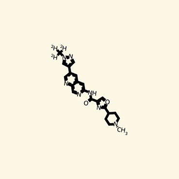 [2H]C([2H])([2H])n1cc(-c2cnc3cnc(NC(=O)c4coc(C5CCN(C)CC5)n4)cc3c2)cn1